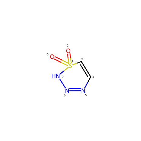 O=S1(=O)C=CN=NN1